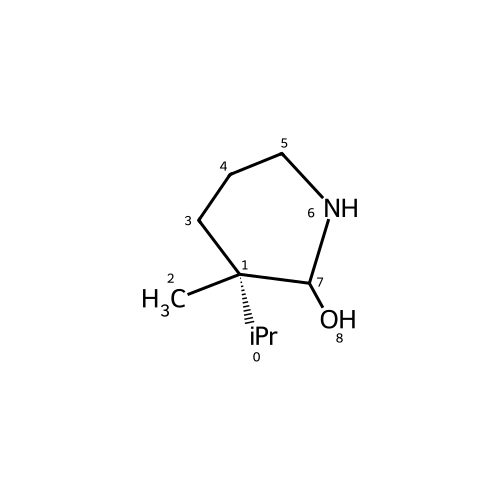 CC(C)[C@]1(C)CCCNC1O